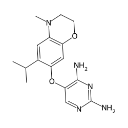 CC(C)c1cc2c(cc1Oc1cnc(N)nc1N)OCCN2C